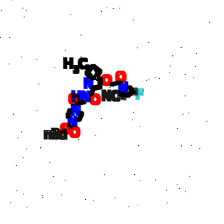 CCCCOC(=O)N1CCN(C(=O)CNC(=O)c2cc(OCC(=O)N3C[C@@H](F)C[C@H]3C#N)c3ccc(C)cc3n2)CC1